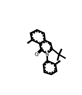 Cc1ccccc1-n1c(C(C)(C)C)cc2cccc(C)c2c1=O